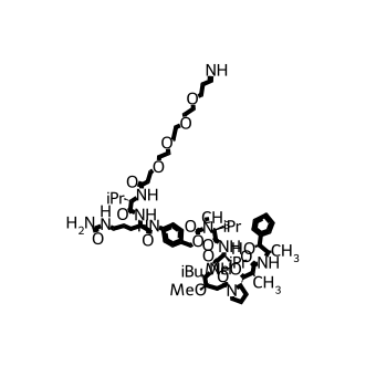 CCC(C)[C@H](NC(=O)[C@@H](NC(=O)[C@H](C(C)C)N(C)C(=O)OCc1ccc(NC(=O)C(CCCNC(N)=O)NC(=O)[C@@H](NC(=O)CCOCCOCCOCCOCCC=N)C(C)C)cc1)C(C)C)[C@@H](CC(=O)N1CCC[C@H]1C(OC)[C@@H](C)C(=O)N[C@H](C)[C@@H](O)c1ccccc1)OC